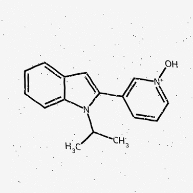 CC(C)n1c(-c2ccc[n+](O)c2)cc2ccccc21